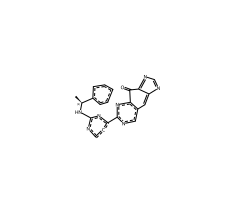 C[C@H](Nc1nccc(-c2ncc3c(n2)C(=O)C2=NC=NC2=C3)n1)c1ccccc1